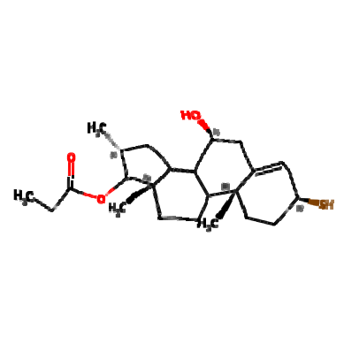 CCC(=O)OC1[C@H](C)CC2C3C(CC[C@@]21C)[C@@]1(C)CC[C@H](S)C=C1C[C@@H]3O